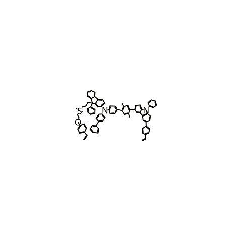 C=Cc1ccc(OCCS(C)(C)CCCC2(c3ccccc3)c3ccccc3-c3ccc(N(c4ccc(-c5ccccc5)cc4)c4ccc(-c5cc(C)c(-c6ccc7c(c6)c6cc(-c8ccc(C=C)cc8)ccc6n7-c6ccccc6)cc5C)cc4)cc32)cc1